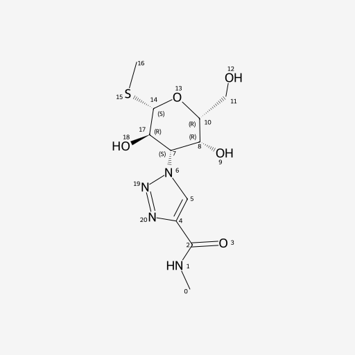 CNC(=O)c1cn([C@H]2[C@@H](O)[C@@H](CO)O[C@@H](SC)[C@@H]2O)nn1